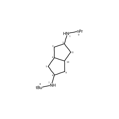 CCCNC1CC2CC(NC(C)(C)C)CC2C1